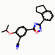 CC(C)Oc1ccc(-c2nc(-c3cccc4c3CCC4)no2)cc1C#N